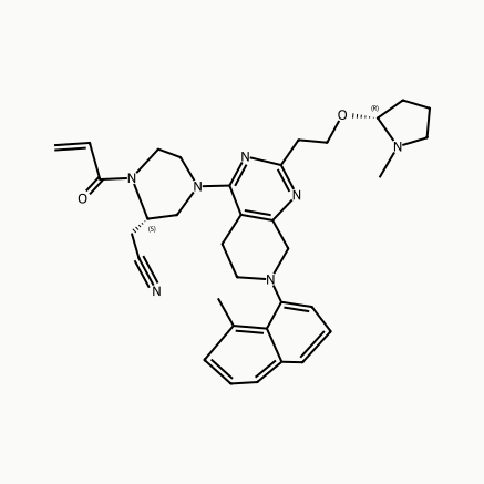 C=CC(=O)N1CCN(c2nc(CCO[C@@H]3CCCN3C)nc3c2CCN(c2cccc4cccc(C)c24)C3)C[C@@H]1CC#N